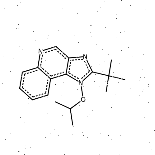 CC(C)On1c(C(C)(C)C)nc2cnc3ccccc3c21